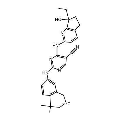 CCC1(O)CCc2ccc(Nc3nc(Nc4ccc5c(c4)CNCC5(C)C)ncc3C#N)nc21